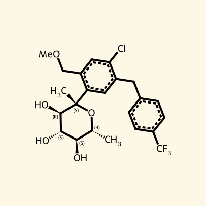 COCc1cc(Cl)c(Cc2ccc(C(F)(F)F)cc2)cc1[C@]1(C)O[C@H](C)[C@@H](O)[C@H](O)[C@H]1O